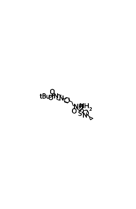 CC(C)(C)OC(=O)N1CCN(c2ccc(CCNC(=O)c3sc4nc(C5CC5)ccc4c3N)cc2)CC1